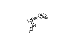 COc1ccc(OCC(O)(c2ccc3c(cnn3-c3ccc(F)cc3)c2)C(F)(F)F)cc1OC